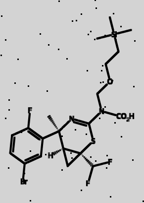 C[C@]1(c2cc(Br)ccc2F)N=C(N(COCC[Si](C)(C)C)C(=O)O)S[C@@]2(C(F)F)C[C@@H]12